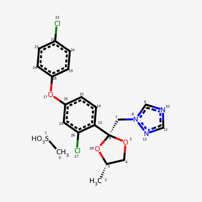 CS(=O)(=O)O.C[C@H]1CO[C@](Cn2cncn2)(c2ccc(Oc3ccc(Cl)cc3)cc2Cl)O1